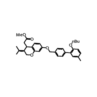 CCCCOc1ccc(C)cc1-c1ccc(COc2ccc3c(c2)OCC(=C(C)C)C3CC(=O)OC)cc1